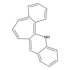 C1=CC2=Cc3ccccc3NC2=c2ccccc2=C1